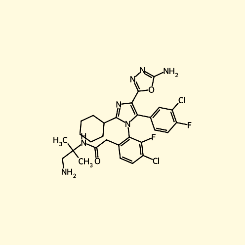 CC(C)(CN)NC(=O)Cc1ccc(Cl)c(F)c1-n1c(C2CCCCC2)nc(-c2nnc(N)o2)c1-c1ccc(F)c(Cl)c1